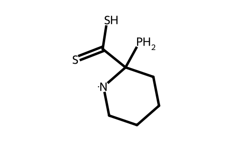 PC1(C(=S)S)CCCC[N]1